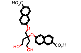 O=C(O)c1ccc2cc(OCC(CCO)(CCO)Oc3ccc4cc(C(=O)O)ccc4c3)ccc2c1